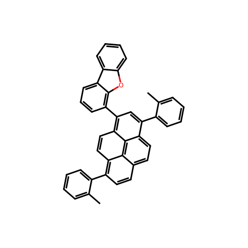 Cc1ccccc1-c1ccc2ccc3c(-c4ccccc4C)cc(-c4cccc5c4oc4ccccc45)c4ccc1c2c34